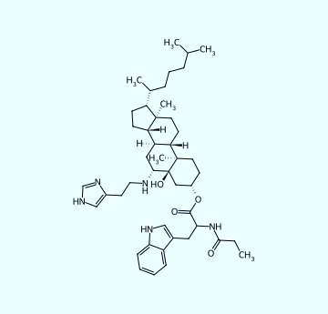 CCC(=O)NC(Cc1c[nH]c2ccccc12)C(=O)O[C@H]1CC[C@]2(C)[C@H]3CC[C@]4(C)[C@@H](C(C)CCCC(C)C)CC[C@H]4[C@@H]3C[C@@H](NCCc3c[nH]cn3)[C@@]2(O)C1